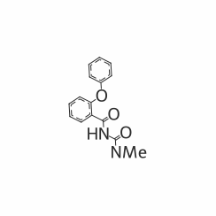 CNC(=O)NC(=O)c1ccccc1Oc1ccccc1